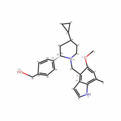 COc1cc(C)c2[nH]ccc2c1CN1CCC(C2CC2)C[C@H]1c1ccc(CO)cc1